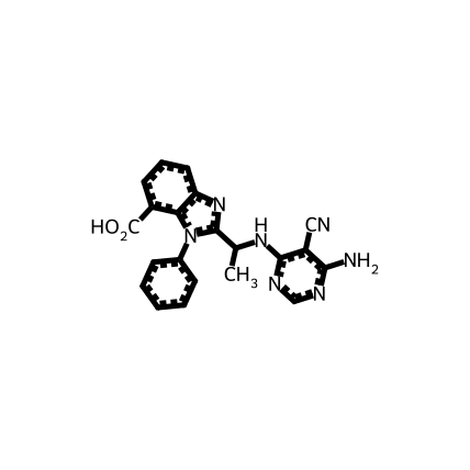 CC(Nc1ncnc(N)c1C#N)c1nc2cccc(C(=O)O)c2n1-c1ccccc1